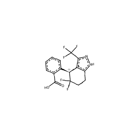 O=C(O)c1ccccc1[C@H]1c2c(C(F)(F)F)n[nH]c2CCC1(F)F